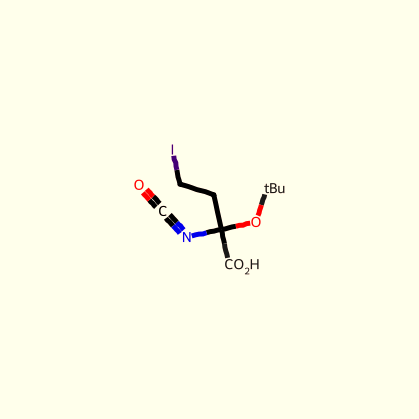 CC(C)(C)OC(CCI)(N=C=O)C(=O)O